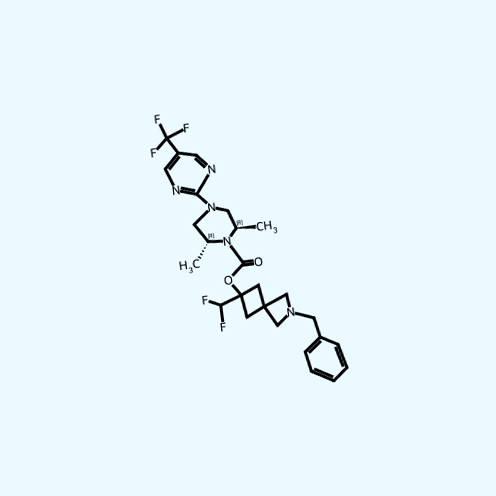 C[C@@H]1CN(c2ncc(C(F)(F)F)cn2)C[C@@H](C)N1C(=O)OC1(C(F)F)CC2(CN(Cc3ccccc3)C2)C1